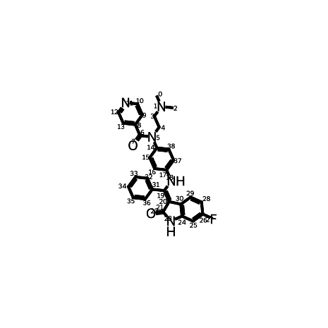 CN(C)CCN(C(=O)c1ccncc1)c1ccc(NC(=C2C(=O)Nc3cc(F)ccc32)c2ccccc2)cc1